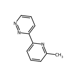 Cc1cccc(-c2cccnn2)n1